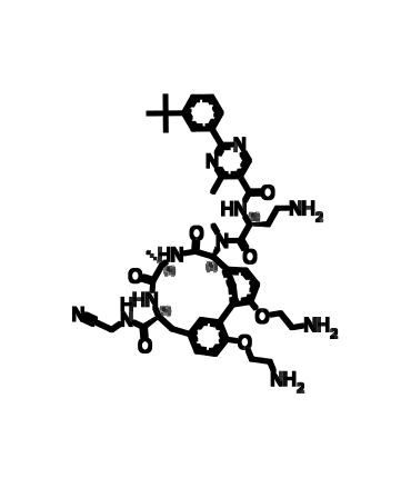 Cc1nc(-c2cccc(C(C)(C)C)c2)ncc1C(=O)N[C@@H](CCN)C(=O)N(C)[C@@H]1C(=O)N[C@@H](C)C(=O)N[C@H](C(=O)NCC#N)Cc2ccc(OCCN)c(c2)-c2cc1ccc2OCCN